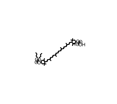 CCCCOP(=O)(OCCCC)OC1CC(C)=C(/C=C/C(C)=C/C=C/C(C)=C/C=C/C=C(C)/C=C/C=C(C)/C=C/C2C(C)=CC(OP(=O)(O)O)CC2(C)C)C(C)(C)C1